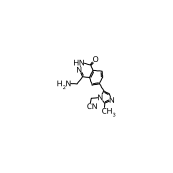 Cc1ncc(-c2ccc3c(=O)[nH]nc(CN)c3c2)n1CC#N